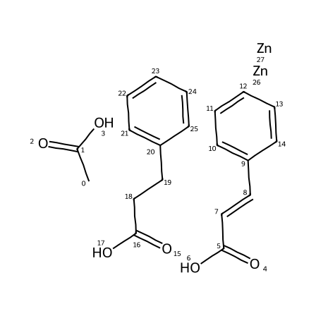 CC(=O)O.O=C(O)C=Cc1ccccc1.O=C(O)CCc1ccccc1.[Zn].[Zn]